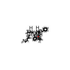 C=N/C=C\C=C(/C)OC[C@@H](NC(=O)C[C@H](NC(=O)OCc1ccccc1)[C@H](Cc1ccccc1)NC(=O)OC(C)(C)C)C(C)C